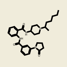 CCCCCC(C)N1CCC(NC(=O)c2ccccc2NC(=O)c2cccc(N3CCCC3=O)c2)CC1